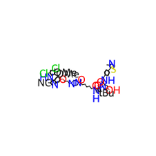 COc1cc(Nc2c(C#N)cnc3cc(OCCCN4CCN(C(=O)CCCCCC(=O)N[C@H](C(=O)N5CC(O)CC5C(=O)NCc5ccc(-c6scnc6C)cc5)C(C)(C)C)CC4)c(OC)cc23)c(Cl)cc1Cl